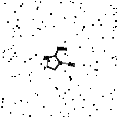 CSC1NCCN1C(C)=O